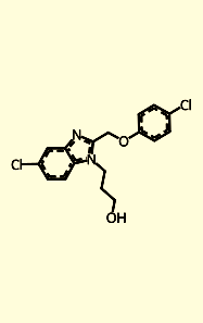 OCCCn1c(COc2ccc(Cl)cc2)nc2cc(Cl)ccc21